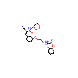 N#CC(=Cc1cccc(OCCCN[C@@H](Cc2ccccc2)B(O)O)c1)C(=O)NC1CCOCC1